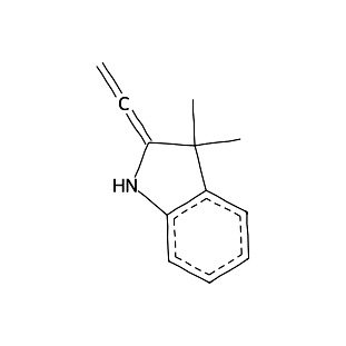 C=C=C1Nc2ccccc2C1(C)C